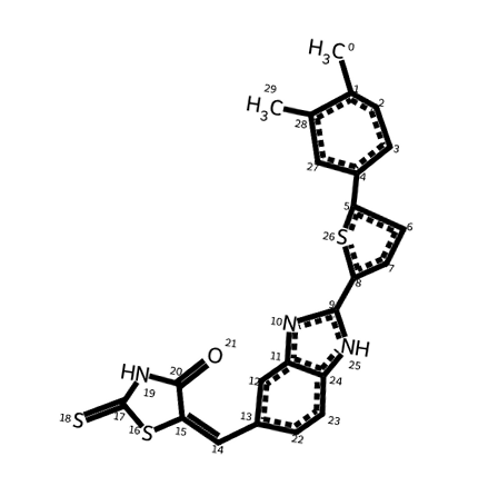 Cc1ccc(-c2ccc(-c3nc4cc(C=C5SC(=S)NC5=O)ccc4[nH]3)s2)cc1C